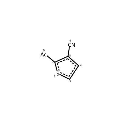 CC(=O)c1sccc1C#N